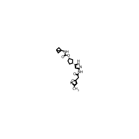 Cc1cc(CC(=O)Nc2cc([C@@H]3CC[C@H](OC(=O)NC45CC(C4)C5)C3)[nH]n2)on1